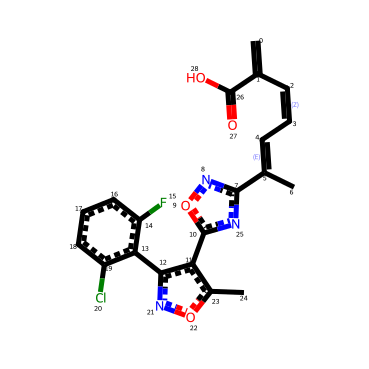 C=C(/C=C\C=C(/C)c1noc(-c2c(-c3c(F)cccc3Cl)noc2C)n1)C(=O)O